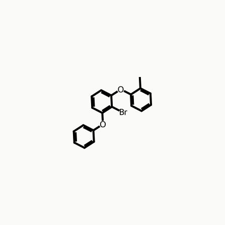 Cc1ccccc1Oc1cccc(Oc2ccccc2)c1Br